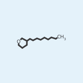 CCCCCCCCCC1CCCOC1